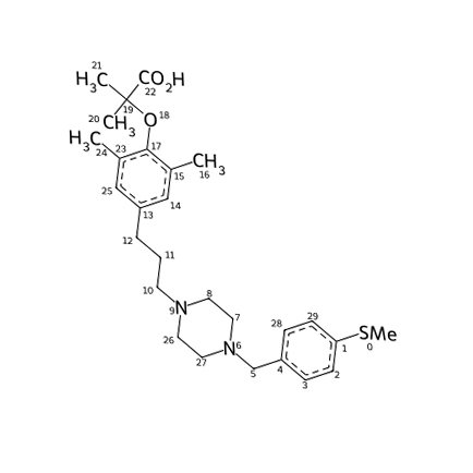 CSc1ccc(CN2CCN(CCCc3cc(C)c(OC(C)(C)C(=O)O)c(C)c3)CC2)cc1